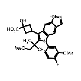 COCC(C)(C)c1c(C2CC(O)(C(=O)O)C2)c2cc3[nH]ncc3cc2n1-c1ccc(F)c(OC)c1